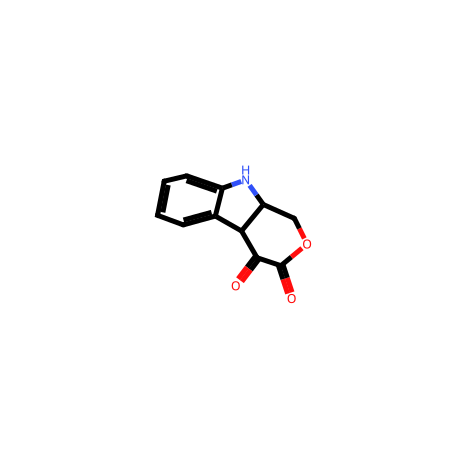 O=C1OCC2Nc3ccccc3C2C1=O